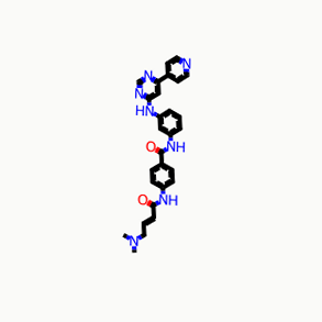 CN(C)CC=CC(=O)Nc1ccc(C(=O)Nc2cccc(Nc3cc(-c4ccncc4)ncn3)c2)cc1